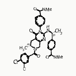 CNC(=O)c1ccc([C@@H](C)Nc2nc3c(c(=O)n2-c2ccc(C(=O)NC)cc2)C[C@@H](C)N(C(=O)c2ccc(Cl)c(Cl)c2)C3)cc1